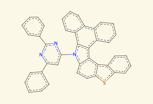 c1ccc(-c2cc(-n3c4ccc5sc6ccccc6c5c4c4c5ccccc5c5ccccc5c43)nc(-c3ccccc3)n2)cc1